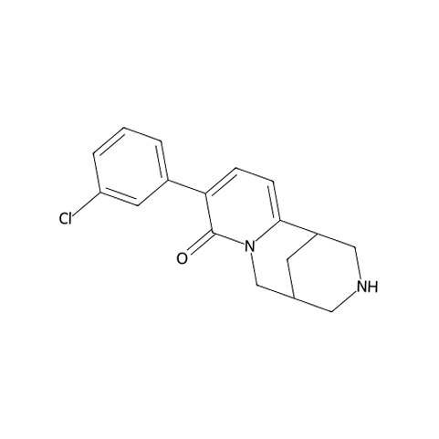 O=c1c(-c2cccc(Cl)c2)ccc2n1CC1CNCC2C1